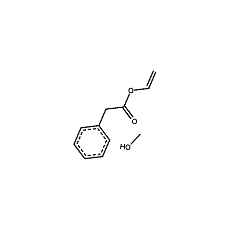 C=COC(=O)Cc1ccccc1.CO